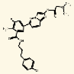 Cc1c(F)cc(-c2ccc3nc(NC(=O)CN(C)C)cn3n2)cc1C(=O)NCCCc1ccc(Cl)cc1